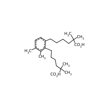 Cc1ccc(CCCCC(C)(C)C(=O)O)c(CCCCC(C)(C)C(=O)O)c1C